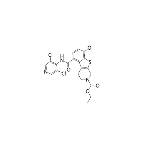 CCOC(=O)N1CCc2c(sc3c(OC)ccc(C(=O)Nc4c(Cl)cncc4Cl)c23)C1